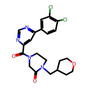 O=C1CN(C(=O)c2cc(-c3ccc(Cl)c(Cl)c3)ncn2)CCN1CC1CCOCC1